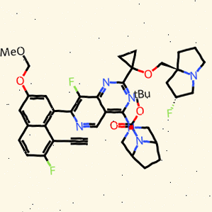 C#Cc1c(F)ccc2cc(OCOC)cc(-c3ncc4c(N5CC6CCC(C5)N6C(=O)OC(C)(C)C)nc(C5(OC[C@@]67CCCN6C[C@H](F)C7)CC5)nc4c3F)c12